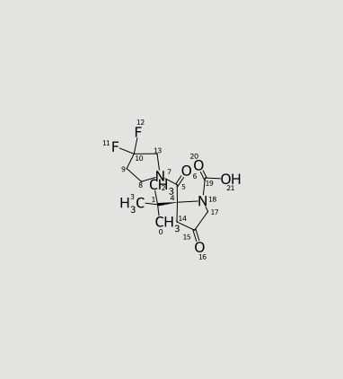 CC(C)(C)[C@]1(C(=O)N2CCC(F)(F)C2)CC(=O)CN1C(=O)O